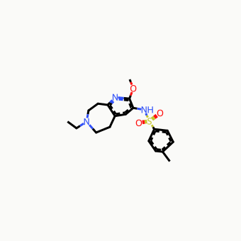 CCN1CCc2cc(NS(=O)(=O)c3ccc(C)cc3)c(OC)nc2CC1